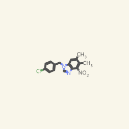 Cc1cc2c(ncn2Cc2ccc(Cl)cc2)c([N+](=O)[O-])c1C